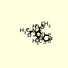 COC(=O)c1cn(C2(C)CCOCC2)c(=O)cc1NC(C)=O